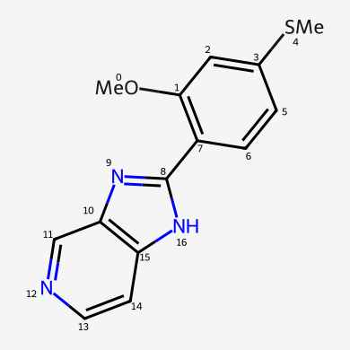 COc1cc(SC)ccc1-c1nc2cnccc2[nH]1